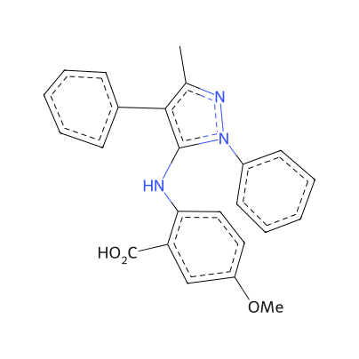 COc1ccc(Nc2c(-c3ccccc3)c(C)nn2-c2ccccc2)c(C(=O)O)c1